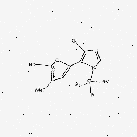 COc1cc(-c2c(Cl)ccn2[Si](C(C)C)(C(C)C)C(C)C)oc1C#N